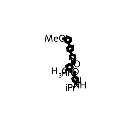 COc1cccc(-c2ccc(C3CCN(C(=O)c4ccc(C)c(NC(=O)c5ccc(NC(C)C)nc5)c4)CC3)cc2)c1